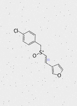 [O-][S+](/C=C/c1ccoc1)Cc1ccc(Cl)cc1